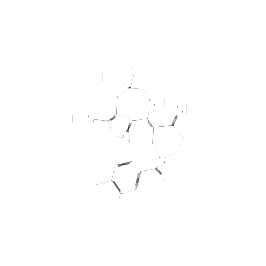 N=C1CCN(C(=O)c2ccc(Cl)c(Cl)c2)C/C1=C1/NCC(O)(CO)Cc2c1noc2N